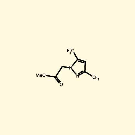 COC(=O)Cn1nc(C(F)(F)F)cc1C(F)(F)F